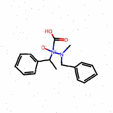 CC(c1ccccc1)[N+]([O-])(C(=O)O)N(C)Cc1ccccc1